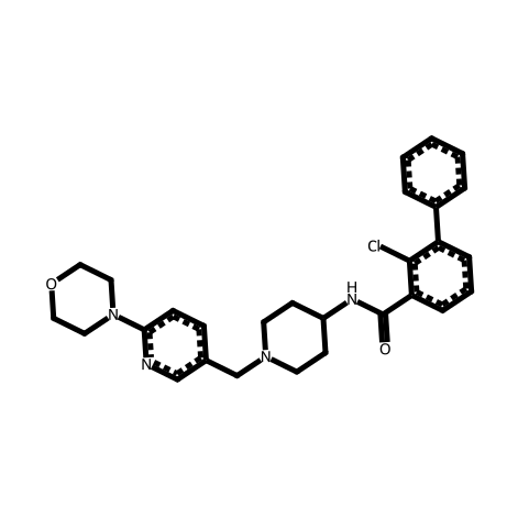 O=C(NC1CCN(Cc2ccc(N3CCOCC3)nc2)CC1)c1cccc(-c2ccccc2)c1Cl